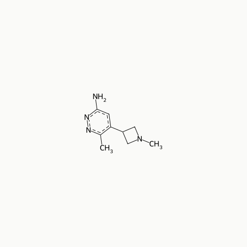 Cc1nnc(N)cc1C1CN(C)C1